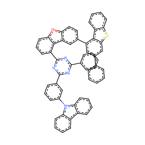 c1ccc(-c2cc(-c3ccc4oc5cccc(-c6nc(-c7ccccc7)nc(-c7cccc(-n8c9ccccc9c9ccccc98)c7)n6)c5c4c3)c3c(c2)sc2ccccc23)cc1